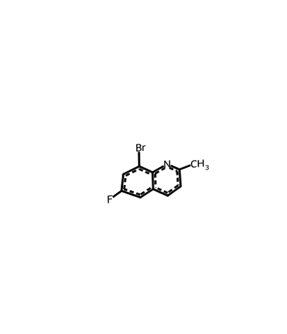 Cc1ccc2cc(F)cc(Br)c2n1